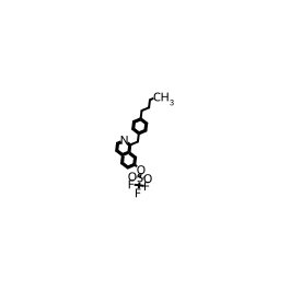 CCCCc1ccc(Cc2nccc3ccc(OS(=O)(=O)C(F)(F)F)cc23)cc1